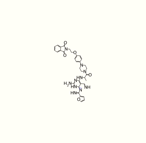 CC(Nc1nc(N)[nH]/c(=N\C(=N)c2ccco2)c1C=N)C(=O)N1CCN(c2ccc(OCCN3C(=O)c4ccccc4C3=O)cc2)CC1